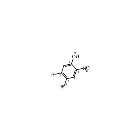 O=Nc1cc(Br)c(F)cc1O